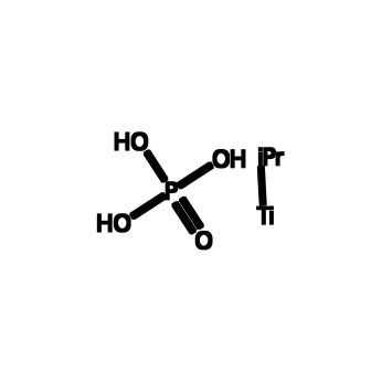 C[CH](C)[Ti].O=P(O)(O)O